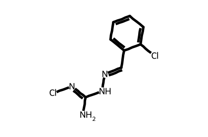 NC(=NCl)NN=Cc1ccccc1Cl